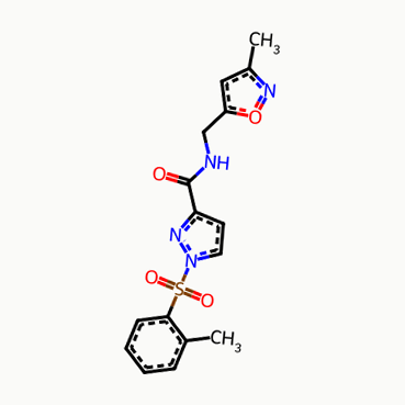 Cc1cc(CNC(=O)c2ccn(S(=O)(=O)c3ccccc3C)n2)on1